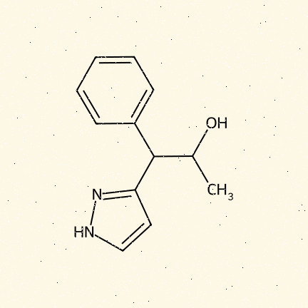 CC(O)C(c1ccccc1)c1cc[nH]n1